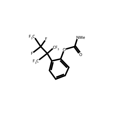 CNC(=O)Oc1ccccc1C(C(F)(F)F)(C(F)(F)F)C(F)(F)C(F)(F)F